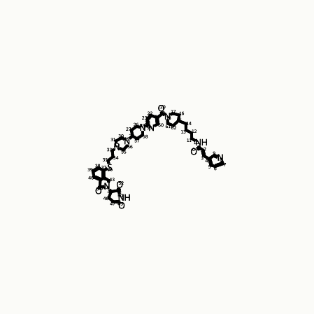 O=C(/C=C/c1cccnc1)NCCCCC1CCN(C(=O)c2ccc(N3CCC(N4CCN(CCCSc5cccc6c5CN(C5CCC(=O)NC5=O)C6=O)CC4)CC3)nc2)CC1